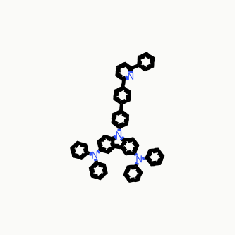 c1ccc(-c2cccc(-c3ccc(-c4ccc(-n5c6ccc(N(c7ccccc7)c7ccccc7)cc6c6cc(N(c7ccccc7)c7ccccc7)ccc65)cc4)cc3)n2)cc1